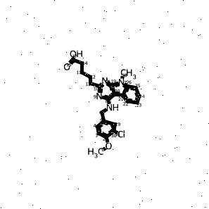 COc1ccc(CNc2nc(CCCCC(=O)O)nc3c2c2ccccc2n3C)cc1Cl